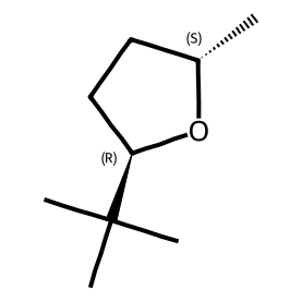 C[C@H]1CC[C@H](C(C)(C)C)O1